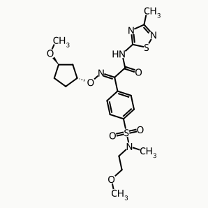 COCCN(C)S(=O)(=O)c1ccc(/C(=N\O[C@@H]2CC[C@@H](OC)C2)C(=O)Nc2nc(C)ns2)cc1